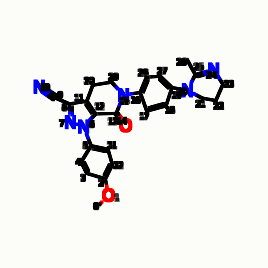 COc1ccc(-n2nc(C#N)c3c2C(=O)N(c2ccc(N4CCCN=C4C)cc2)CC3)cc1